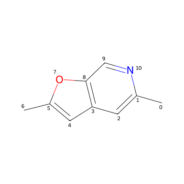 Cc1cc2cc(C)oc2cn1